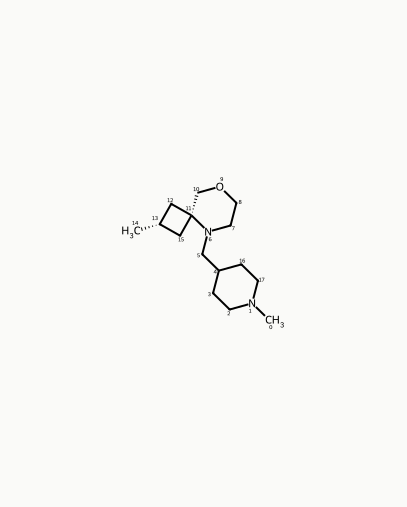 CN1CCC(CN2CCOC[C@]23C[C@@H](C)C3)CC1